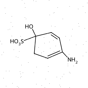 NC1=CCC(O)(S(=O)(=O)O)C=C1